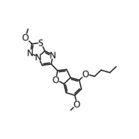 CCCCOc1cc(OC)cc2oc(-c3cn4nc(OC)sc4n3)cc12